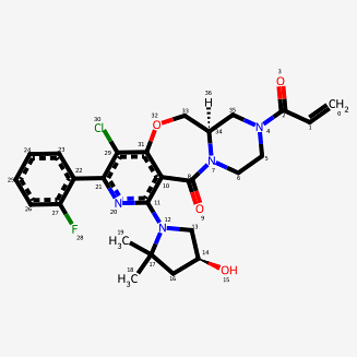 C=CC(=O)N1CCN2C(=O)c3c(N4C[C@@H](O)CC4(C)C)nc(-c4ccccc4F)c(Cl)c3OC[C@H]2C1